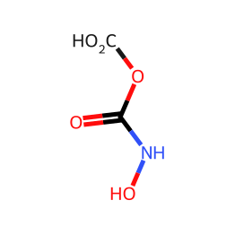 O=C(O)OC(=O)NO